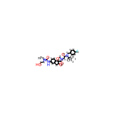 CCCN(CCO)C(=O)Nc1ccc2c(c1)CC(=O)[C@]21OCN(CC(=O)N(Cc2ccc(F)cc2)C(C)C(F)(F)F)C1=O